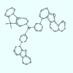 CC1(C)c2ccccc2-c2ccc(N(c3ccc(-c4cccc5c4sc4ccccc45)cc3)c3cccc(-c4cccc5oc6c7ccccc7ccc6c45)c3)cc21